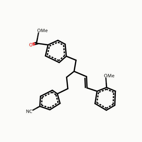 COC(=O)c1ccc(CC(C=Cc2ccccc2OC)CCc2ccc(C#N)cc2)cc1